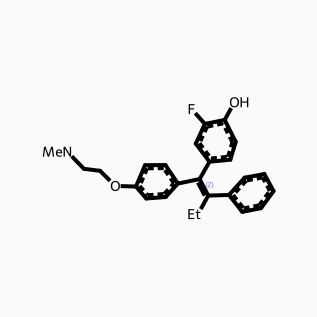 CC/C(=C(\c1ccc(OCCNC)cc1)c1ccc(O)c(F)c1)c1ccccc1